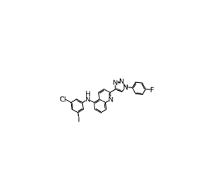 Fc1ccc(-n2cc(-c3ccc4c(Nc5cc(Cl)cc(I)c5)cccc4n3)nn2)cc1